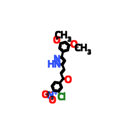 COc1cc(OC)cc(-c2cc(C=CC(=O)c3ccc([N+](=O)[O-])c(Cl)c3)[nH]n2)c1